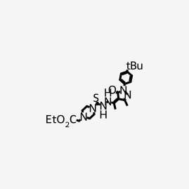 CCOC(=O)CN1CCN(C(=S)NN/C(C)=C2\C(=O)N(c3ccc(C(C)(C)C)cc3)N=C2C)CC1